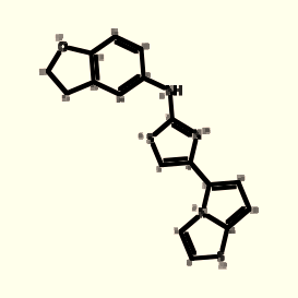 c1cn2c(-c3csc(Nc4ccc5c(c4)CCO5)n3)ccc2s1